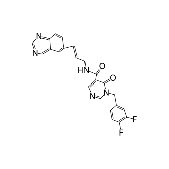 O=C(NCC=Cc1ccc2ncncc2c1)c1cncn(Cc2ccc(F)c(F)c2)c1=O